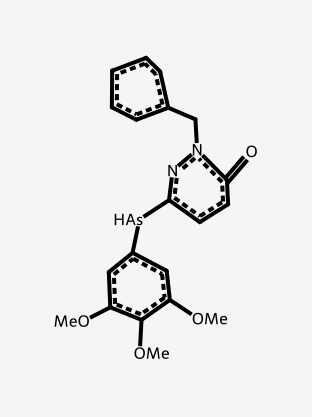 COc1cc([AsH]c2ccc(=O)n(Cc3ccccc3)n2)cc(OC)c1OC